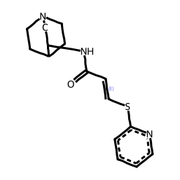 O=C(/C=C/Sc1ccccn1)NC1CN2CCC1CC2